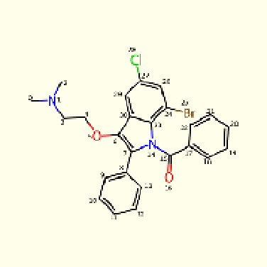 CN(C)CCOc1c(-c2ccccc2)n(C(=O)c2ccccc2)c2c(Br)cc(Cl)cc12